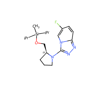 CC(C)[Si](C)(OC[C@@H]1CCCN1c1nnc2ccc(F)cn12)C(C)C